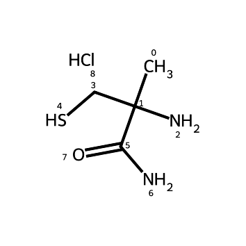 CC(N)(CS)C(N)=O.Cl